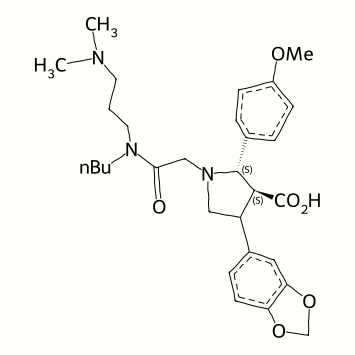 CCCCN(CCCN(C)C)C(=O)CN1CC(c2ccc3c(c2)OCO3)[C@H](C(=O)O)[C@H]1c1ccc(OC)cc1